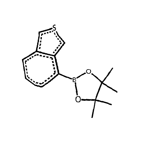 CC1(C)OB(c2cccc3cscc23)OC1(C)C